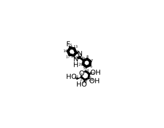 OC[C@H]1O[C@H](c2cccc(-c3nc4cc(F)ccc4[nH]3)c2)[C@@H](O)[C@@H](O)[C@@H]1O